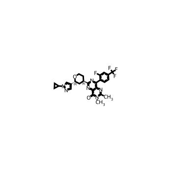 Cc1nc2c(-c3ccc(C(F)(F)F)cc3F)nc([C@@H]3CCO[C@@H](c4cnn(C5CC5)c4)C3)nc2c(=O)n1C